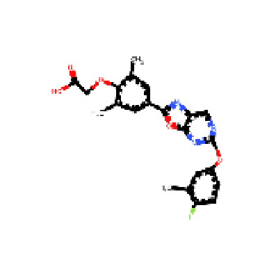 Cc1cc(Oc2ncc3nc(-c4cc(C)c(OCC(=O)O)c(C)c4)oc3n2)ccc1F